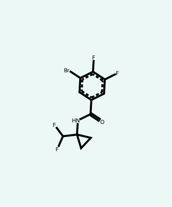 O=C(NC1(C(F)F)CC1)c1cc(F)c(F)c(Br)c1